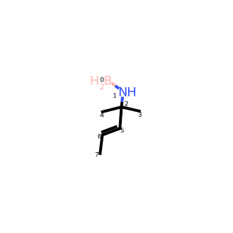 BNC(C)(C)C=CC